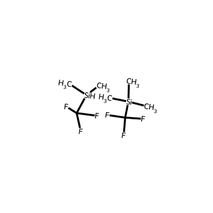 C[SiH](C)C(F)(F)F.C[Si](C)(C)C(F)(F)F